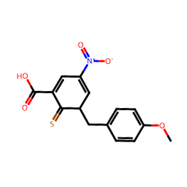 COc1ccc(CC2C=C([N+](=O)[O-])C=C(C(=O)O)C2=S)cc1